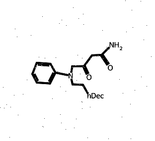 CCCCCCCCCCCCN(CC(=O)CC(N)=O)c1ccccc1